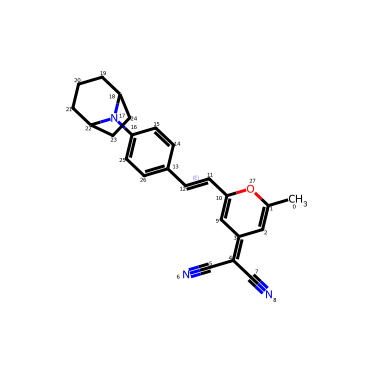 CC1=CC(=C(C#N)C#N)C=C(/C=C/c2ccc(N3C4CCCC3CC4)cc2)O1